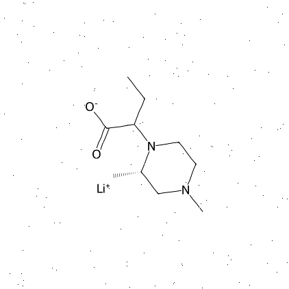 CCC(C(=O)[O-])N1CCN(C)C[C@@H]1C.[Li+]